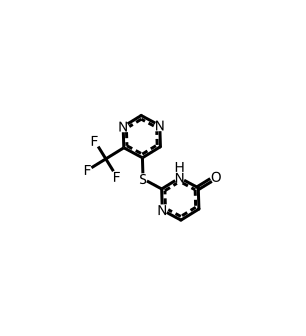 O=c1ccnc(Sc2cncnc2C(F)(F)F)[nH]1